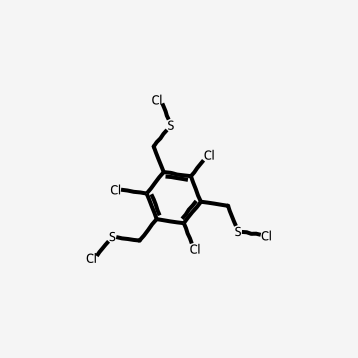 ClSCc1c(Cl)c(CSCl)c(Cl)c(CSCl)c1Cl